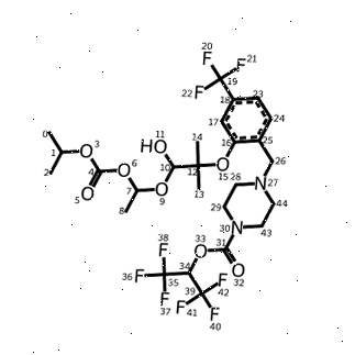 CC(C)OC(=O)OC(C)OC(O)C(C)(C)Oc1cc(C(F)(F)F)ccc1CN1CCN(C(=O)OC(C(F)(F)F)C(F)(F)F)CC1